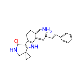 C=C(/C=C/c1ccccc1)/C=C1\C(=C/N)CCc2c1[nH]c1c2C(=O)NCC12CC2